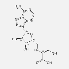 Nc1ncnc2c1ncn2[C@@H]1O[C@H](CN[C@@H](CS)C(=O)O)[C@@H](O)[C@H]1O